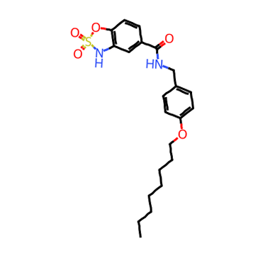 CCCCCCCCOc1ccc(CNC(=O)c2ccc3c(c2)NS(=O)(=O)O3)cc1